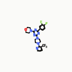 Fc1ccc(-c2nc(N3CCOCC3)nc(N3CCN(c4ncccc4C(F)(F)F)CC3)n2)cc1F